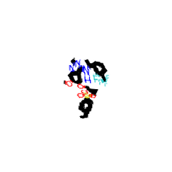 CCc1ccc(S(=O)(=O)OC2(COc3cc4c(NC(C)c5cccc(C(F)(F)F)c5F)nc(C)nc4cc3OC)CC2)cc1